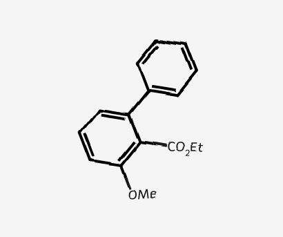 CCOC(=O)c1c(OC)cccc1-c1ccccc1